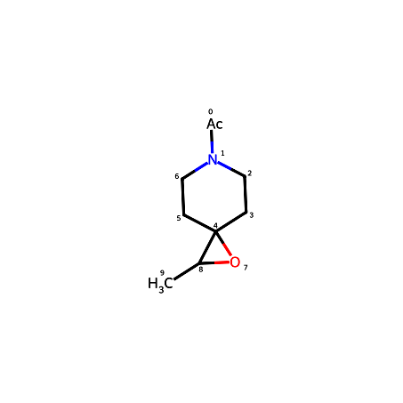 CC(=O)N1CCC2(CC1)OC2C